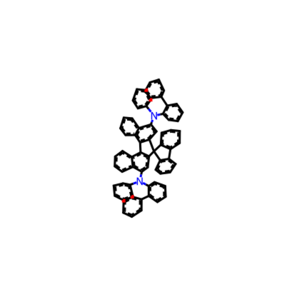 c1ccc(-c2ccccc2N(c2ccccc2)c2cc3c(c4ccccc24)-c2c(cc(N(c4ccccc4)c4ccccc4-c4ccccc4)c4ccccc24)C32c3ccccc3-c3ccccc32)cc1